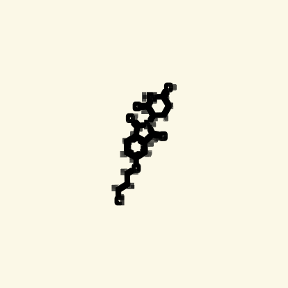 O=C1CCC(N2C(=O)c3ccc(OCCCCl)cc3C2=O)C(=O)N1